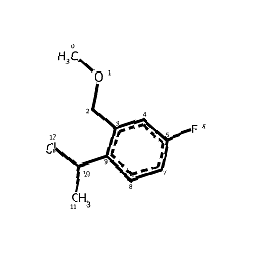 COCc1cc(F)ccc1C(C)Cl